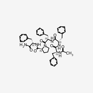 CC(=O)N[C@@H](Cc1ccccc1)C(=O)N[C@@H](Cc1ccccc1)C(=O)N[C@@H](Cc1ccccc1)C(=O)N1CCC[C@H]1C(=O)N[C@@H](Cc1ccccc1)C(N)=O